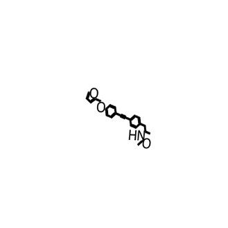 CC(=O)NC(C)Cc1ccc(C#Cc2ccc(OCc3ccco3)cc2)cc1